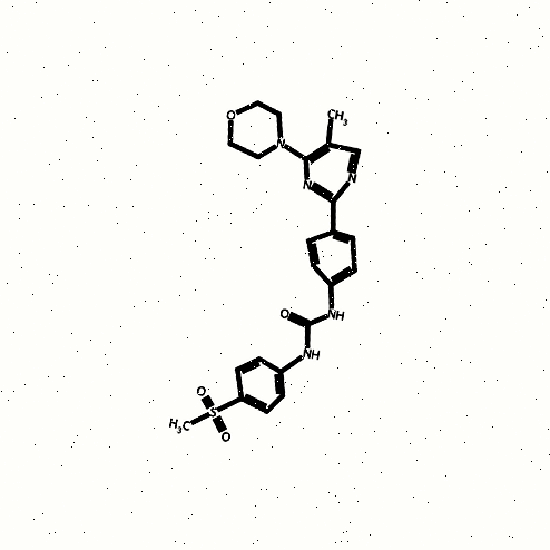 Cc1cnc(-c2ccc(NC(=O)Nc3ccc(S(C)(=O)=O)cc3)cc2)nc1N1CCOCC1